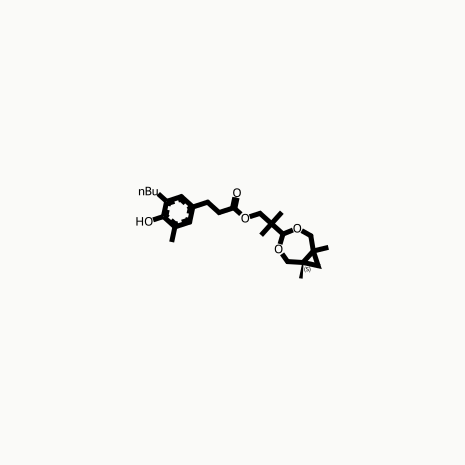 CCCCc1cc(CCC(=O)OCC(C)(C)C2OCC3(C)C[C@]3(C)CO2)cc(C)c1O